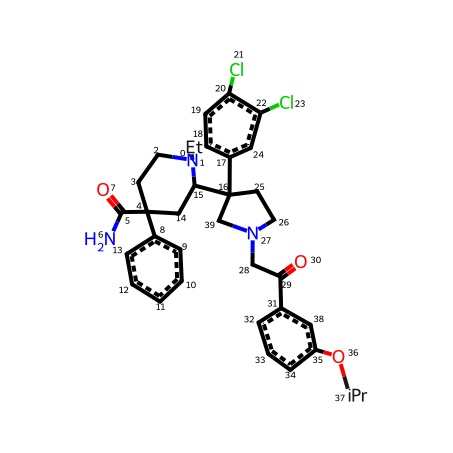 CCN1CCC(C(N)=O)(c2ccccc2)CC1C1(c2ccc(Cl)c(Cl)c2)CCN(CC(=O)c2cccc(OC(C)C)c2)C1